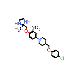 CC1(COc2ccc(N3CCC(COc4ccc(Cl)cc4)CC3)cc2[N+](=O)[O-])NC=CN1